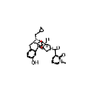 Cn1cccc(C(=O)N2C[C@H]3CC45CCC2C3C42CCN(CC3CC3)C5Cc3ccc(O)cc32)c1=O